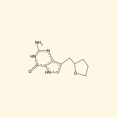 Nc1nc2c(CC3CCCO3)c[nH]c2c(=O)[nH]1